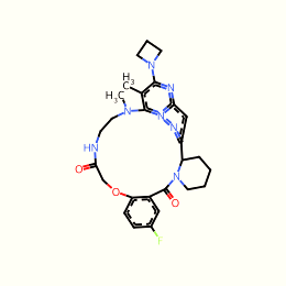 Cc1c(N2CCC2)nc2cc3nn2c1N(C)CCNC(=O)COc1ccc(F)cc1C(=O)N1CCCCC31